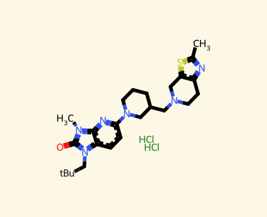 Cc1nc2c(s1)CN(CC1CCCN(c3ccc4c(n3)n(C)c(=O)n4CC(C)(C)C)C1)CC2.Cl.Cl